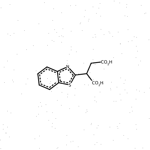 O=C(O)CC(C(=O)O)c1nc2ccccc2s1